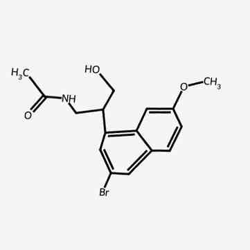 COc1ccc2cc(Br)cc(C(CO)CNC(C)=O)c2c1